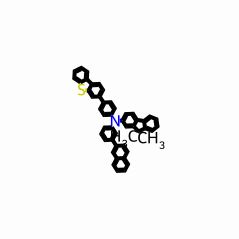 CC1(C)c2ccccc2-c2ccc(N(c3ccc(-c4ccc5c(c4)sc4ccccc45)cc3)c3cccc(-c4ccc5ccccc5c4)c3)cc21